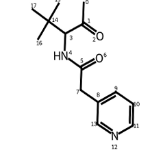 CC(=O)C(NC(=O)Cc1cccnc1)C(C)(C)C